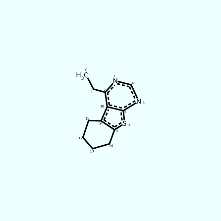 CCc1ncnc2sc3c(c12)CCCC3